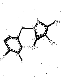 Cc1nn(Cc2ccc(F)c(F)c2)c(C)c1C